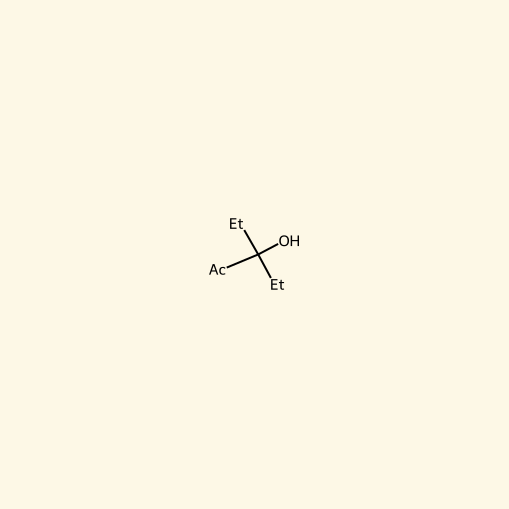 CCC(O)(CC)C(C)=O